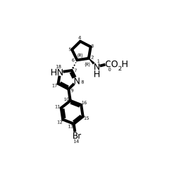 O=C(O)N[C@@H]1CCC[C@H]1c1nc(-c2ccc(Br)cc2)c[nH]1